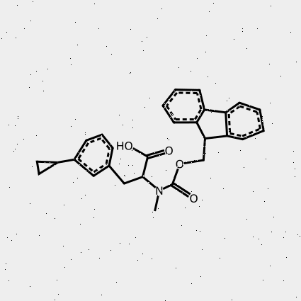 CN(C(=O)OCC1c2ccccc2-c2ccccc21)C(Cc1cccc(C2CC2)c1)C(=O)O